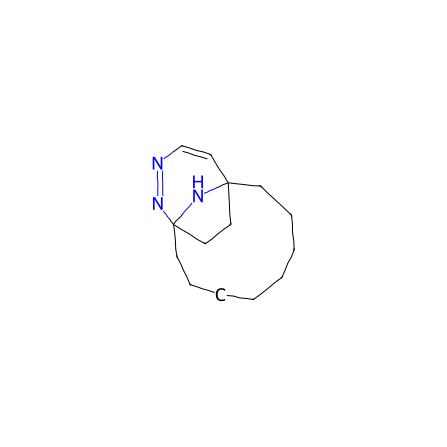 C1=CC23CCCCCCCCC(CC2)(N=N1)N3